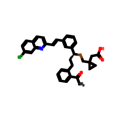 CC(=O)c1ccccc1CC[C@@H](SCC1(CC(=O)O)CC1)c1cccc(/C=C/c2ccc3ccc(Cl)cc3n2)c1